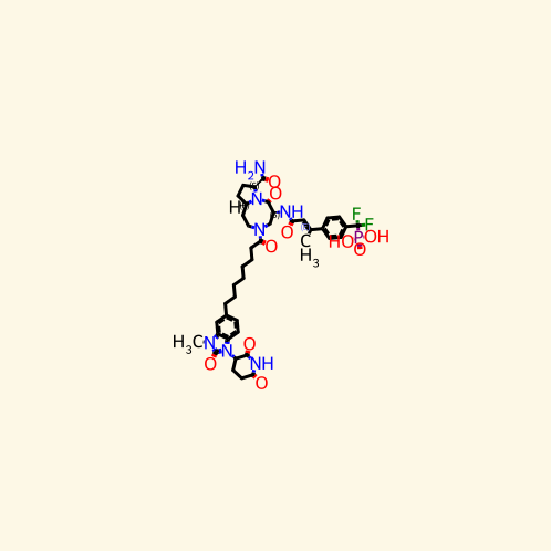 C/C(=C\C(=O)N[C@H]1CN(C(=O)CCCCCCCc2ccc3c(c2)n(C)c(=O)n3C2CCC(=O)NC2=O)CC[C@H]2CC[C@@H](C(N)=O)N2C1=O)c1ccc(C(F)(F)P(=O)(O)O)cc1